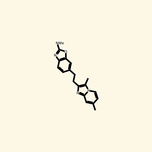 CNc1nc2ccc(CCc3nc4cc(C)ccn4c3C)cc2o1